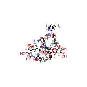 CN[C@H](CC(C)C)C(=O)NC1C(=O)C[C@@H](CC(N)=O)C(=O)N[C@H]2C(=O)C[C@H]3C(=O)N[C@H](C(=O)N[C@H](C(=O)O)c4cc(O)cc(O)c4-c4cc3ccc4O)[C@H](O)c3ccc(c(Cl)c3)Oc3cc2cc(c3O[C@@H]2O[C@H](CO)[C@@H](O)[C@H](O)[C@H]2O[C@H]2C[C@](C)(N)[C@H](O)[C@H](C)O2)Oc2ccc(cc2Cl)[C@H]1O